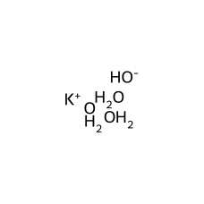 O.O.O.[K+].[OH-]